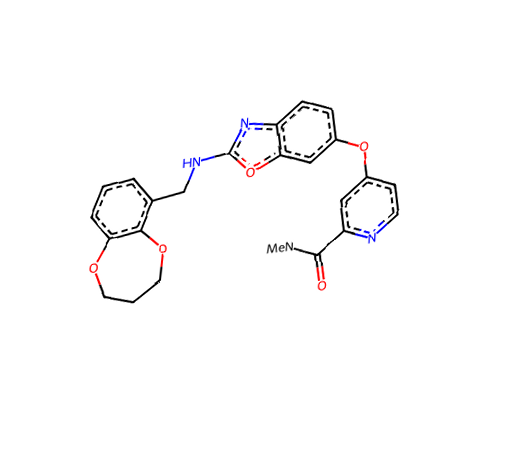 CNC(=O)c1cc(Oc2ccc3nc(NCc4cccc5c4OCCCO5)oc3c2)ccn1